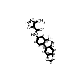 Cc1nnsc1C(=O)NC1=CC=C(c2cc3c(cc2Br)OCO3)C(C)C1